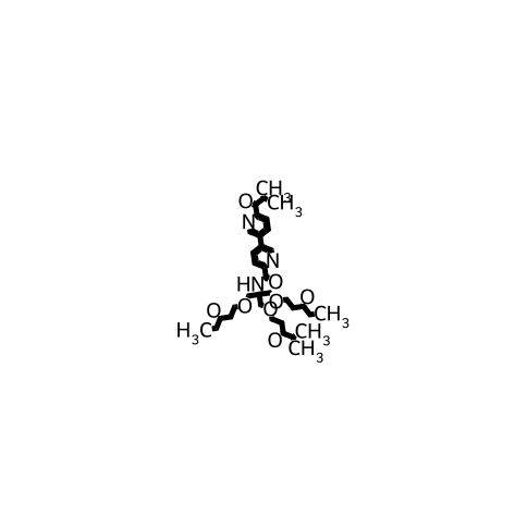 CCC(=O)CCOCC(COCCC(=O)CC)(COCCC(=O)C(C)C)NC(=O)c1ccc(-c2ccc(C(=O)C(C)C)nc2)cn1